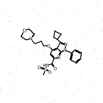 CS(=O)(=O)NC(=O)c1cc(OCCCN2CCOCC2)c2c(C3CCC3)nn(-c3ccccc3)c2n1